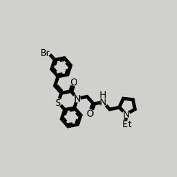 CCN1CCCC1CNC(=O)CN1C(=O)/C(=C\c2cccc(Br)c2)Sc2ccccc21